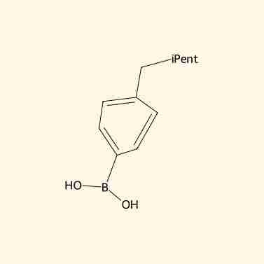 CCCC(C)Cc1ccc(B(O)O)cc1